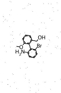 COc1cccc(CO)c1-c1c(N)cccc1Br